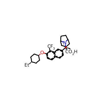 CC[C@H]1CC[C@@H](Oc2ccc3ccc([C@H](C)N4C5CCC4CC(C(=O)O)C5)cc3c2C(F)(F)F)CC1